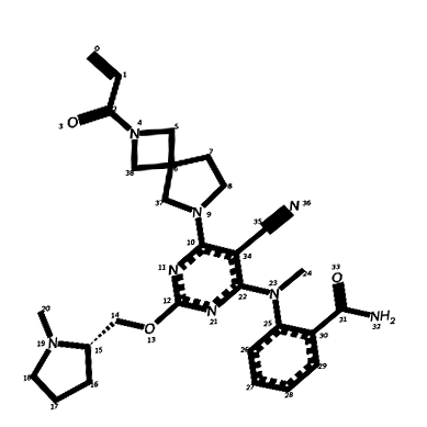 C=CC(=O)N1CC2(CCN(c3nc(OC[C@@H]4CCCN4C)nc(N(C)c4ccccc4C(N)=O)c3C#N)C2)C1